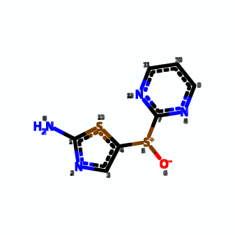 Nc1ncc([S+]([O-])c2ncccn2)s1